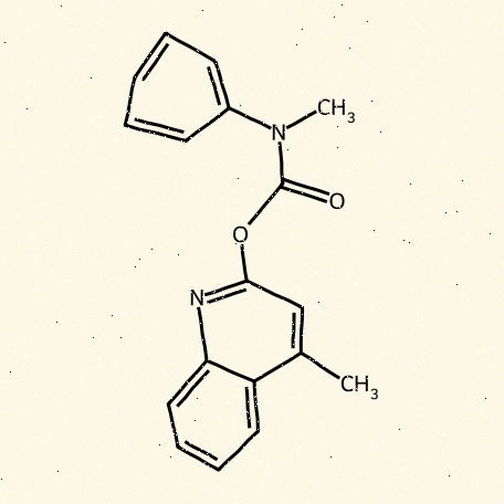 Cc1cc(OC(=O)N(C)c2ccccc2)nc2ccccc12